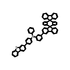 c1ccc(N(c2ccc(-c3ccc4c(c3)sc3ccccc34)cc2)c2cccc(-c3ccc4c(c3)-c3ccccc3C43c4ccccc4C4(c5ccccc5-c5ccccc54)c4ccccc43)c2)cc1